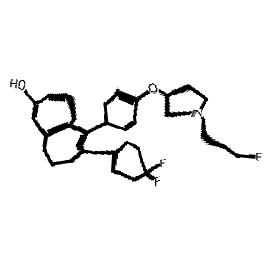 Oc1ccc2c(c1)CCCC(C1CCC(F)(F)CC1)=C2C1C=CC(O[C@H]2CCN(CCCF)C2)=CC1